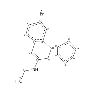 CCNC1=Cc2ccc(Br)cc2CC1.c1ccccc1